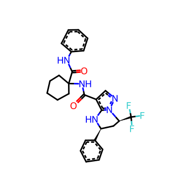 O=C(NC1(C(=O)Nc2ccccc2)CCCCC1)c1cnn2c1N[C@H](c1ccccc1)C[C@@H]2C(F)(F)F